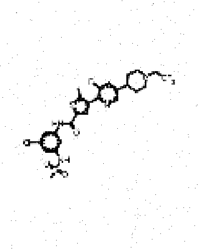 Cc1sc(C(=O)Nc2cc(Cl)cc(NS(C)(=O)=O)c2)cc1-c1ncc(C2CCN(CC(F)(F)F)CC2)cc1F